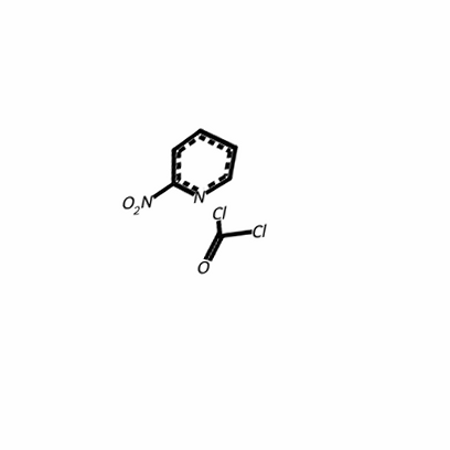 O=C(Cl)Cl.O=[N+]([O-])c1ccccn1